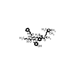 C=CCNCC(=O)N1[C@@H](NC(=O)NCc2ccccc2)CN(Cc2cccc3c(C(=O)N(C)CCCc4c(C)nn(C)c4C)cn(C)c23)C(=O)[C@@H]1Cc1ccc(O)cc1